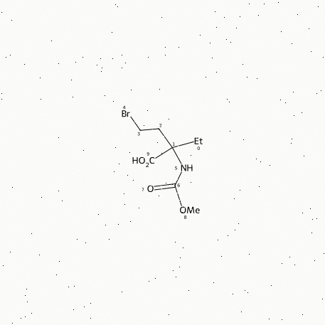 CCC(CCBr)(NC(=O)OC)C(=O)O